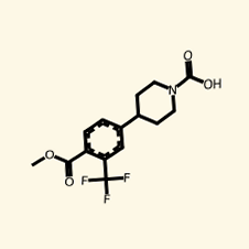 COC(=O)c1ccc(C2CCN(C(=O)O)CC2)cc1C(F)(F)F